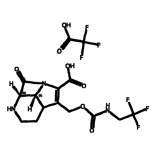 O=C(NCC(F)(F)F)OCC1=C(C(=O)O)N2C(=O)[C@H]3NCCC1[C@H]32.O=C(O)C(F)(F)F